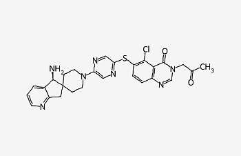 CC(=O)Cn1cnc2ccc(Sc3cnc(N4CCC5(CC4)Cc4ncccc4[C@H]5N)cn3)c(Cl)c2c1=O